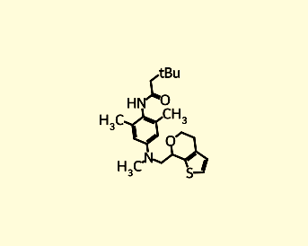 Cc1cc(N(C)CC2OCCc3ccsc32)cc(C)c1NC(=O)CC(C)(C)C